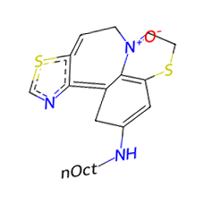 CCCCCCCCNC1=CC2=C3C(=c4ncsc4=CC[N+]3([O-])CCS2)C1